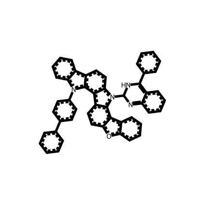 c1ccc(C2=c3ccccc3=NC(n3c4ccc5c6ccccc6n(-c6ccc(-c7ccccc7)cc6)c5c4c4ccc5oc6ccccc6c5c43)N2)cc1